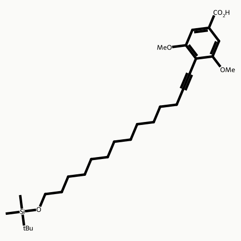 COc1cc(C(=O)O)cc(OC)c1C#CCCCCCCCCCCCCO[Si](C)(C)C(C)(C)C